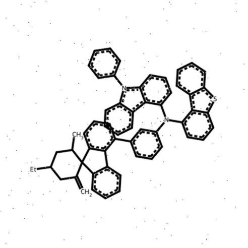 C=C1CC(CC)CC(C)C12c1ccccc1-c1c(-c3cccc(N(c4cccc5sc6ccccc6c45)c4cccc5c4c4ccccc4n5-c4ccccc4)c3)cccc12